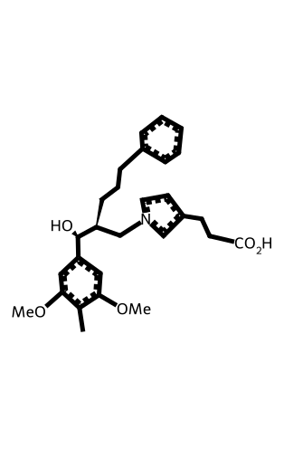 COc1cc([C@@H](O)[C@@H](CCCc2ccccc2)Cn2ccc(CCC(=O)O)c2)cc(OC)c1C